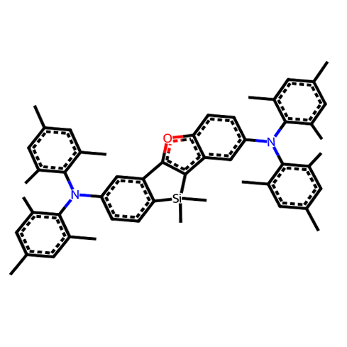 Cc1cc(C)c(N(c2ccc3c(c2)-c2oc4ccc(N(c5c(C)cc(C)cc5C)c5c(C)cc(C)cc5C)cc4c2[Si]3(C)C)c2c(C)cc(C)cc2C)c(C)c1